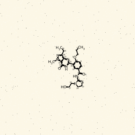 CCCOc1ccc(C(=O)NC2=NCCN2CCO)cc1-c1nc2c(CC)nn(C)c2c(=O)[nH]1